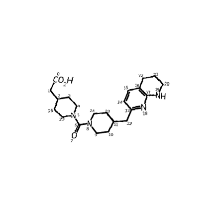 O=C(O)CC1CCN(C(=O)N2CCC(Cc3ccc4c(n3)NCCC4)CC2)CC1